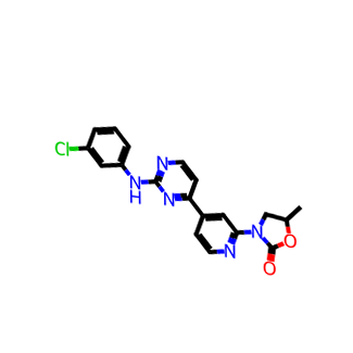 CC1CN(c2cc(-c3ccnc(Nc4cccc(Cl)c4)n3)ccn2)C(=O)O1